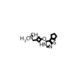 CN(C)CC1CC(OC2NC=Nc3sc4c(c32)CCC4)C1